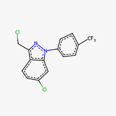 FC(F)(F)c1ccc(-n2nc(CCl)c3ccc(Cl)cc32)cc1